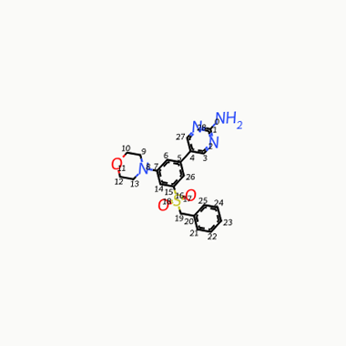 Nc1ncc(-c2cc(N3CCOCC3)cc(S(=O)(=O)Cc3ccccc3)c2)cn1